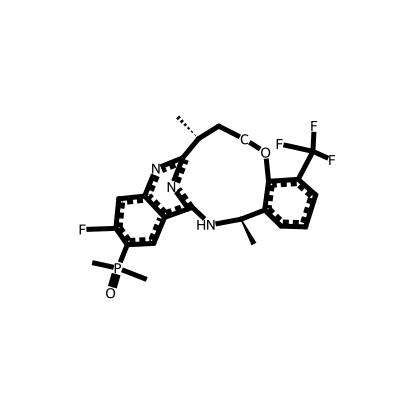 C[C@@H]1CCOc2c(cccc2C(F)(F)F)[C@@H](C)Nc2nc1nc1cc(F)c(P(C)(C)=O)cc21